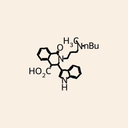 CCCCN(C)CCCN1C(=O)c2ccccc2C(C(=O)O)C1c1c[nH]c2ccccc12